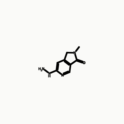 CN1Cc2cc(NN)ncc2C1=O